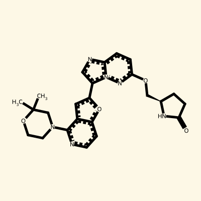 CC1(C)CN(c2nccc3oc(-c4cnc5ccc(OC[C@H]6CCC(=O)N6)nn45)cc23)CCO1